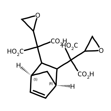 O=C(O)C(C(=O)O)(C1CO1)C1C(C(C(=O)O)(C(=O)O)C2CO2)[C@H]2C=C[C@@H]1C2